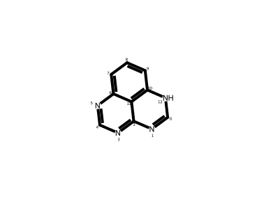 C1=Nc2ncnc3cccc(c23)N1